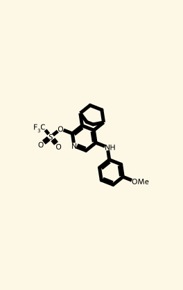 COc1cccc(Nc2cnc(OS(=O)(=O)C(F)(F)F)c3c2C2CCC3CC2)c1